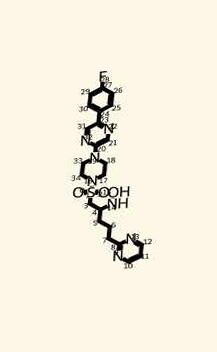 O=S(=O)(CC(CCCc1ncccn1)NO)N1CCN(c2cnc(-c3ccc(F)cc3)cn2)CC1